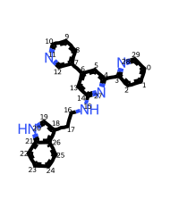 c1ccc(-c2cc(-c3cccnc3)cc(NCCc3c[nH]c4ccccc34)n2)nc1